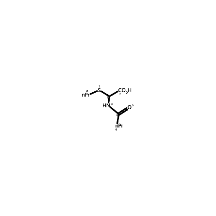 CCCSC(NC(=O)CCC)C(=O)O